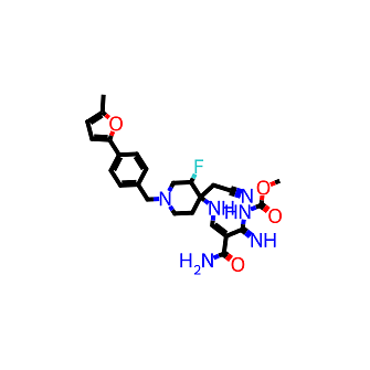 COC(=O)NC(=N)/C(=C\NC1(CC#N)CCN(Cc2ccc(-c3ccc(C)o3)cc2)CC1F)C(N)=O